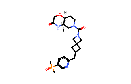 CP(C)(=O)c1ccc(CC2CC3(C2)CN(C(=O)N2CC[C@@H]4OCC(=O)N[C@@H]4C2)C3)nc1